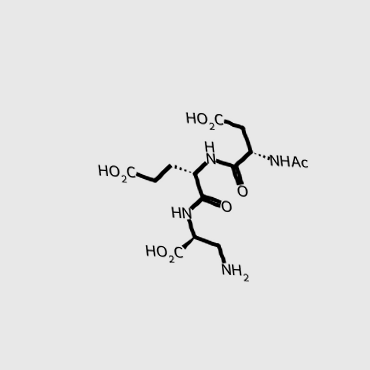 CC(=O)N[C@@H](CC(=O)O)C(=O)N[C@@H](CCC(=O)O)C(=O)N[C@@H](CN)C(=O)O